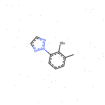 Cc1cccc(-n2nccn2)c1C(C)(C)C